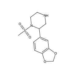 CS(=O)(=O)N1CCNCC1c1ccc2c(c1)OCO2